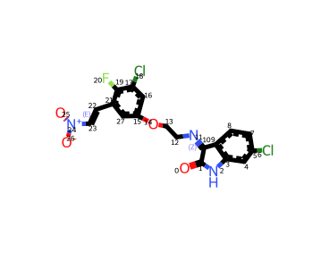 O=C1Nc2cc(Cl)ccc2/C1=N/CCOc1cc(Cl)c(F)c(/C=C/[N+](=O)[O-])c1